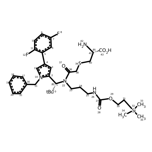 CC(C)(C)[C@H](c1cc(-c2cc(F)ccc2F)cn1Cc1ccccc1)N(CCCNC(=O)OCC[Si](C)(C)C)C(=O)CSC[C@H](N)C(=O)O